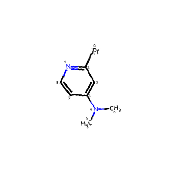 CC(C)c1cc(N(C)C)ccn1